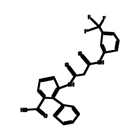 O=C(CC(=O)Nc1cccc(C(=O)O)c1-c1ccccc1)Nc1cccc(C(F)(F)F)c1